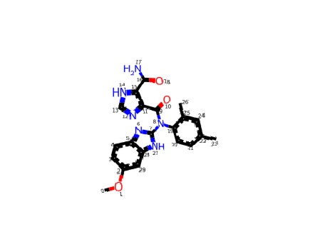 COc1ccc2nc(N(C(=O)c3nc[nH]c3C(N)=O)c3ccc(C)cc3C)[nH]c2c1